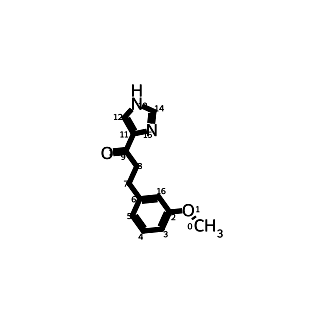 COc1cccc(CCC(=O)c2c[nH]cn2)c1